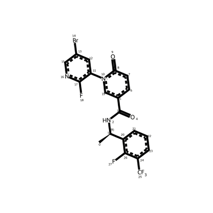 C[C@@H](NC(=O)c1ccc(=O)n(-c2cc(Br)cnc2F)c1)c1cccc(C(F)(F)F)c1F